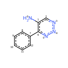 Nc1cnnnc1-c1ccccc1